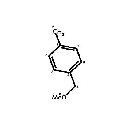 COCc1ccc(C)cc1